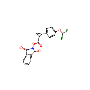 O=C(ON1C(=O)c2ccccc2C1=O)C1C[C@@H]1c1ccc(OC(F)F)cc1